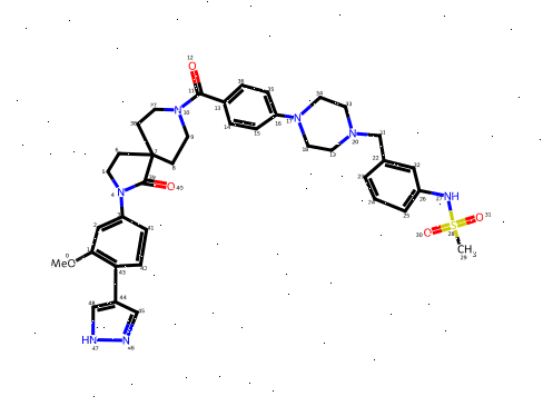 COc1cc(N2CCC3(CCN(C(=O)c4ccc(N5CCN(Cc6cccc(NS(C)(=O)=O)c6)CC5)cc4)CC3)C2=O)ccc1-c1cn[nH]c1